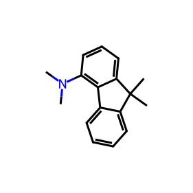 CN(C)c1cccc2c1-c1ccccc1C2(C)C